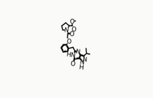 COC(=O)C1CCCN1C(=O)COc1ccccc1Cc1nc2c(C(C)C)n[nH]c2c(=O)[nH]1